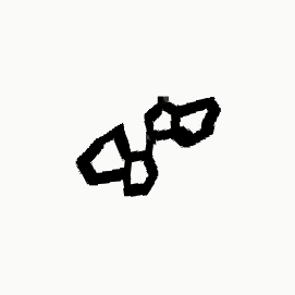 c1ccc2c(-n3cnc4ccccc43)cccc2c1